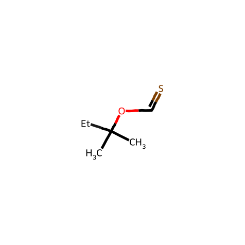 CCC(C)(C)OC=S